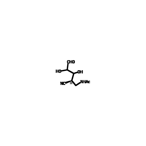 CC(=O)NC[C@@H](C#N)C(O)C(O)C=O